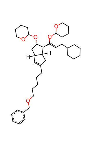 C1=C(CCCCCOCc2ccccc2)C[C@H]2[C@H](C(=CCC3CCCCC3)OC3CCCCO3)[C@@H](OC3CCCCO3)C[C@@H]12